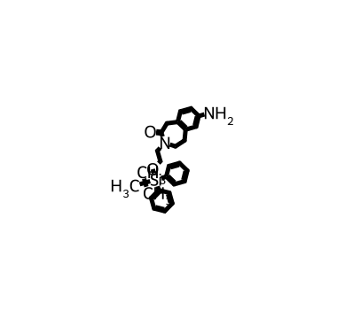 CC(C)(C)[Si](OCCN1CCc2cc(N)ccc2CC1=O)(c1ccccc1)c1ccccc1